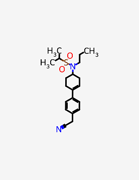 CCCN(C1CC=C(c2ccc(CC#N)cc2)CC1)S(=O)(=O)C(C)C